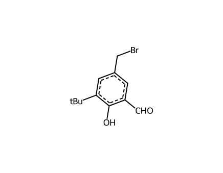 CC(C)(C)c1cc(CBr)cc(C=O)c1O